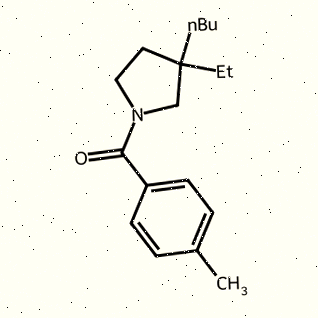 CCCCC1(CC)CCN(C(=O)c2ccc(C)cc2)C1